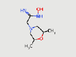 CC1CN(CC(=N)NO)CC(C)O1